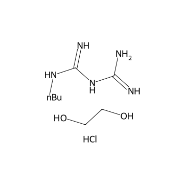 CCCCNC(=N)NC(=N)N.Cl.OCCO